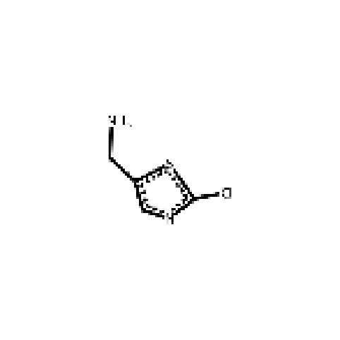 NCc1cnc(Cl)s1